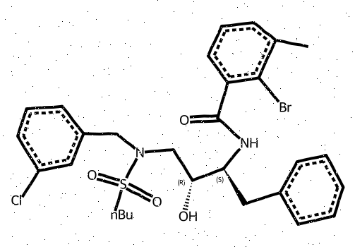 CCCCS(=O)(=O)N(Cc1cccc(Cl)c1)C[C@@H](O)[C@H](Cc1ccccc1)NC(=O)c1cccc(C)c1Br